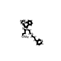 COCCc1nc2c(c3ccccc3n3nnnc23)n1CCOCCCc1cccnc1